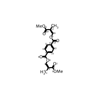 COC(=O)C(C)=COC(=O)c1ccc(C(=O)OC=C(C)C(=O)OC)cc1